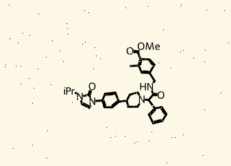 COC(=O)c1ccc(CNC(=O)C(c2ccccc2)N2CCC(c3ccc(-n4ccn(C(C)C)c4=O)cc3)CC2)cc1C